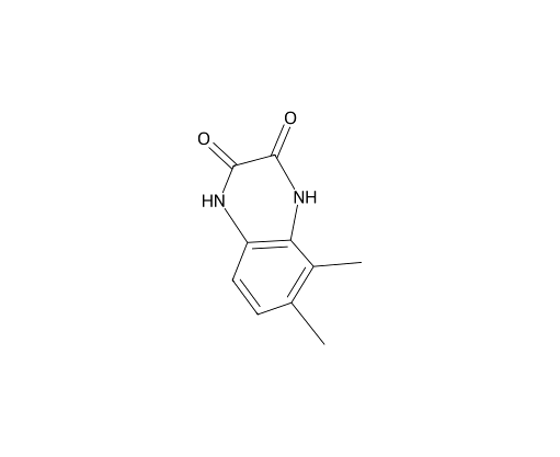 Cc1ccc2[nH]c(=O)c(=O)[nH]c2c1C